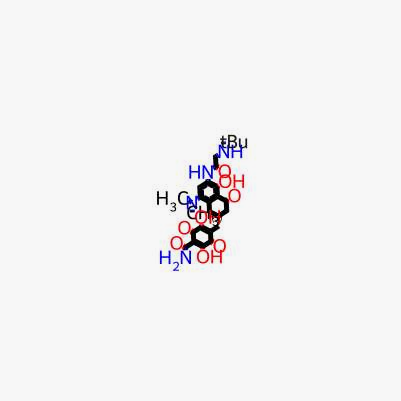 CN(C)c1cc(NC(=O)CNC(C)(C)C)c(O)c2c1C[C@@H](CC1=C(O)C(=O)C(C(N)=O)=C(O)C1=O)CC2=O